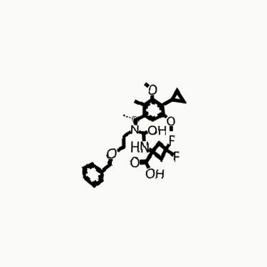 COc1cc([C@@H](C)N(CCOCc2ccccc2)C(O)NC2(C(=O)O)CC(F)(F)C2)c(C)c(OC)c1C1CC1